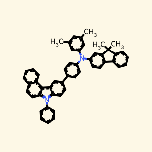 Cc1cc(C)cc(N(c2ccc(-c3ccc4c(c3)c3c5ccccc5ccc3n4-c3ccccc3)cc2)c2ccc3c(c2)C(C)(C)c2ccccc2-3)c1